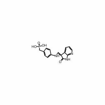 O=C1Nc2ncccc2C1=CNc1ccc(CP(=O)(O)O)cc1